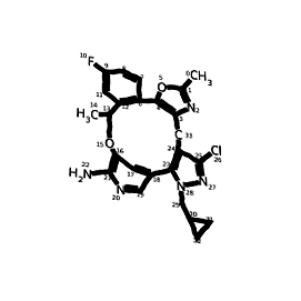 Cc1nc2c(o1)-c1ccc(F)cc1C(C)Oc1cc(cnc1N)-c1c(c(Cl)nn1CC1CC1)C2